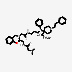 COC(=O)C1(N(C(=O)CCNC(=O)CN(Cc2ccccc2C)C(=O)CNC(=O)CN(C)C)c2ccccc2)CCN(CCc2ccccc2)CC1